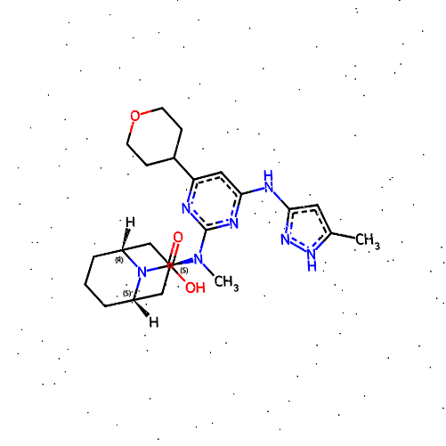 Cc1cc(Nc2cc(C3CCOCC3)nc(N(C)[C@@H]3C[C@H]4CCC[C@@H](C3)N4C(=O)O)n2)n[nH]1